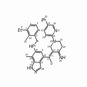 CCc1cccc(CPc2cc(/C(C)=C3\CN(c4ncc(C(C)C)cp4)CCC3=N)c3cc[nH]c3c2C)c1C